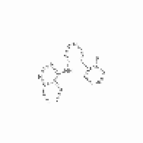 Fc1ccccc1-c1c[c]ccc1Nc1ncnc2ccccc12